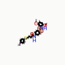 COc1ccc(OC)c(NS(=O)(=O)c2ccc(NC(=O)CCCSc3ccc(I)cc3)cc2)c1